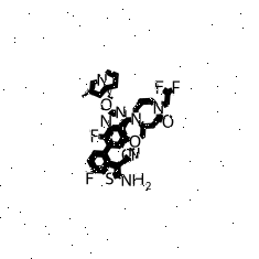 C[C@H]1CN2CCC[C@@]2(COc2nc3c4c(c(Cl)c(-c5ccc(F)c6sc(N)c(C#N)c56)c(F)c4n2)OCC2CC(=O)N(CC(F)F)CCCN32)C1